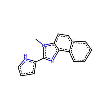 Cn1c(-c2ccc[nH]2)nc2c3ccccc3ccc21